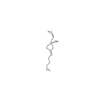 C=CC[C@@]1(O)CC[C@H](OCCCC)C1